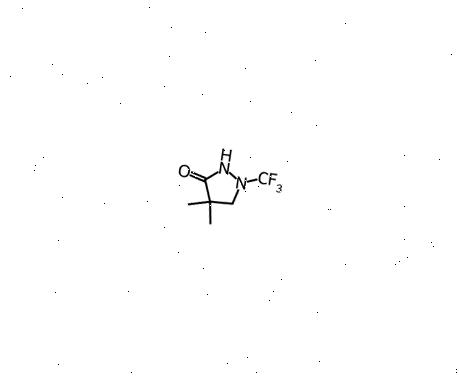 CC1(C)CN(C(F)(F)F)NC1=O